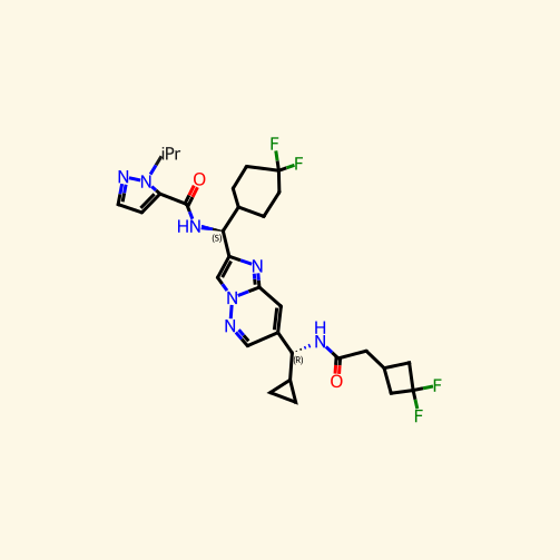 CC(C)n1nccc1C(=O)N[C@H](c1cn2ncc([C@H](NC(=O)CC3CC(F)(F)C3)C3CC3)cc2n1)C1CCC(F)(F)CC1